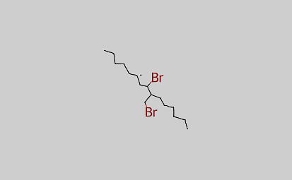 CCCCC[CH]CC(Br)C(CBr)CCCCCC